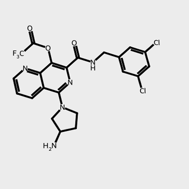 NC1CCN(c2nc(C(=O)NCc3cc(Cl)cc(Cl)c3)c(OC(=O)C(F)(F)F)c3ncccc23)C1